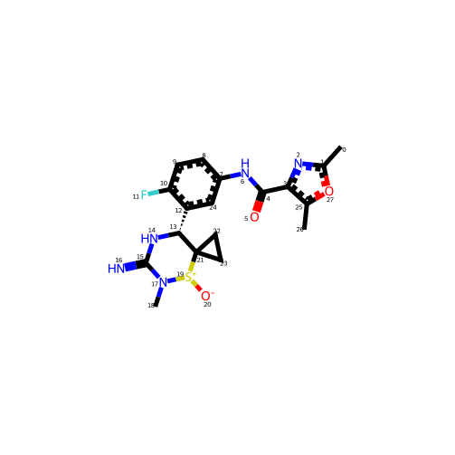 Cc1nc(C(=O)Nc2ccc(F)c([C@H]3NC(=N)N(C)[S+]([O-])C34CC4)c2)c(C)o1